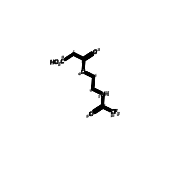 O=C(O)CC(=O)OCCNC(=O)C(F)(F)F